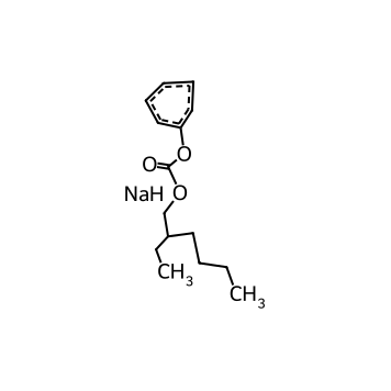 CCCCC(CC)COC(=O)Oc1ccccc1.[NaH]